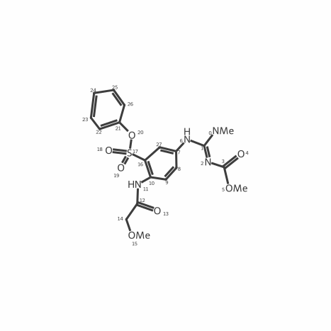 CNC(=NC(=O)OC)Nc1ccc(NC(=O)COC)c(S(=O)(=O)Oc2ccccc2)c1